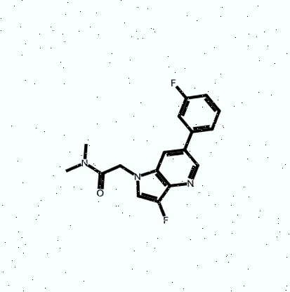 CN(C)C(=O)Cn1cc(F)c2ncc(-c3cccc(F)c3)cc21